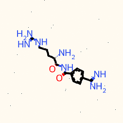 N=C(N)NCCC[C@H](N)C(=O)NC(=O)c1ccc(C(=N)N)cc1